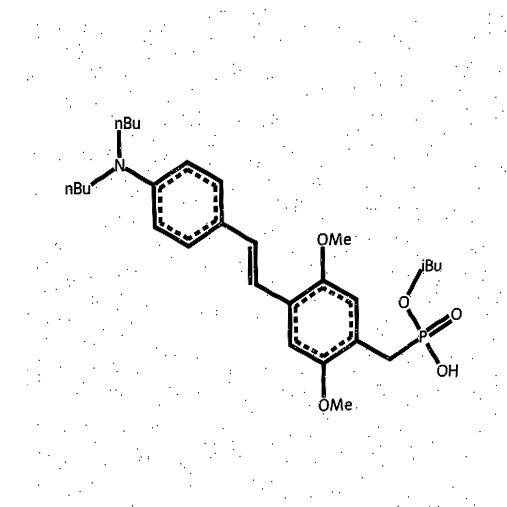 CCCCN(CCCC)c1ccc(C=Cc2cc(OC)c(CP(=O)(O)OC(C)CC)cc2OC)cc1